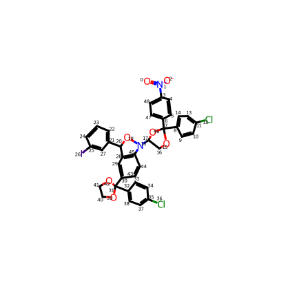 O=[N+]([O-])c1ccc(C2(c3ccc(Cl)cc3)OCC(N3OC(c4cccc(I)c4)c4cc(C5(c6ccc(Cl)cc6)OCCO5)ccc43)O2)cc1